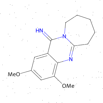 COc1cc(OC)c2nc3n(c(=N)c2c1)CCCCC3